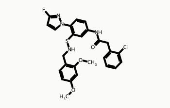 COc1ccc(CNSc2cc(NC(=O)Cc3ccccc3Cl)ccc2-n2ccc(F)n2)c(OC)c1